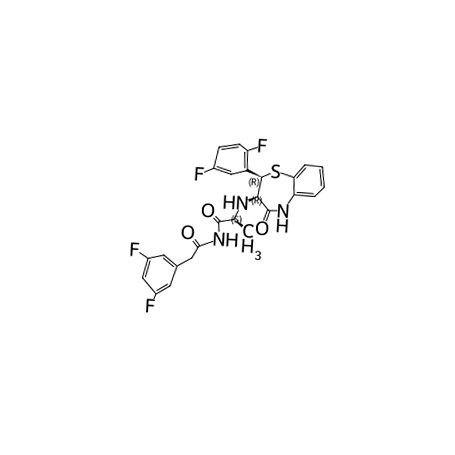 C[C@H](N[C@@H]1C(=O)Nc2ccccc2S[C@@H]1c1cc(F)ccc1F)C(=O)NC(=O)Cc1cc(F)cc(F)c1